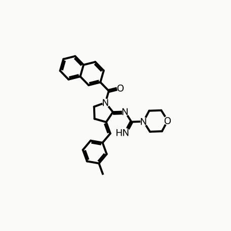 Cc1cccc(/C=C2\CCN(C(=O)c3ccc4ccccc4c3)\C2=N\C(=N)N2CCOCC2)c1